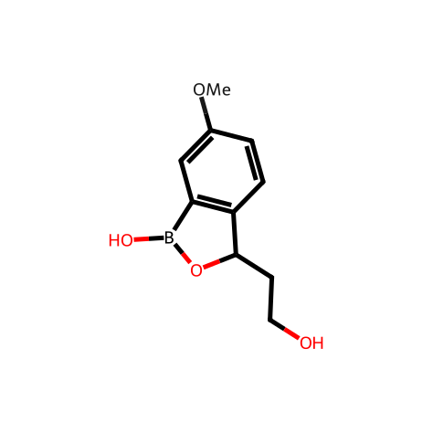 COc1ccc2c(c1)B(O)OC2CCO